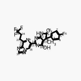 C[C@@]1(c2ccc(F)cc2)C(=O)Nc2nc(-c3cn4ncnc4c(CCC(F)(F)F)n3)nc(O)c21